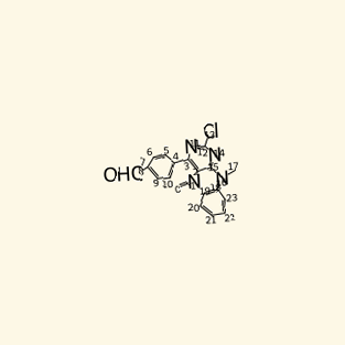 C=Nc1c(-c2ccc(C=O)cc2)nc(Cl)nc1N(C)c1ccccc1